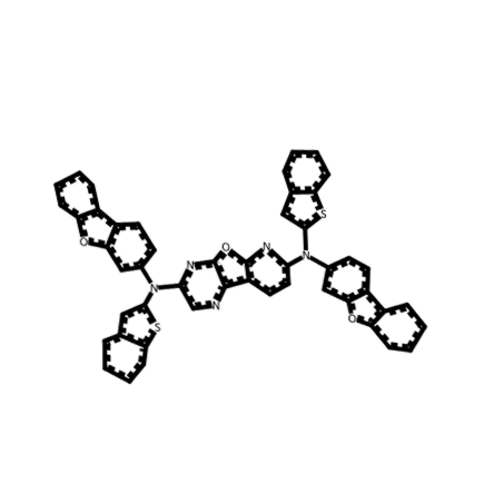 c1ccc2sc(N(c3ccc4c(c3)oc3ccccc34)c3ccc4c(n3)oc3nc(N(c5ccc6c(c5)oc5ccccc56)c5cc6ccccc6s5)cnc34)cc2c1